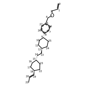 C=CCOCc1ccc([C@H]2CC[C@H](CC[C@H]3CC[C@H](C=CC)CC3)CC2)cc1